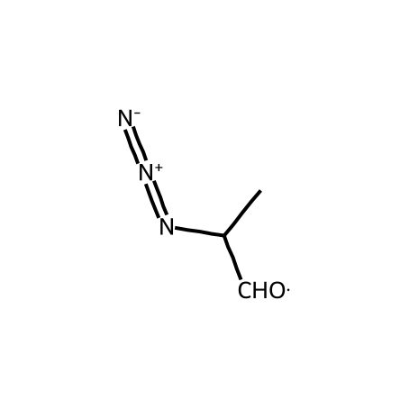 CC([C]=O)N=[N+]=[N-]